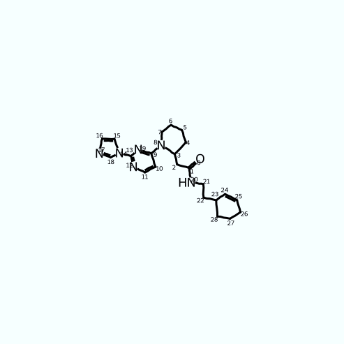 O=C(CC1CCCCN1c1ccnc(-n2ccnc2)n1)NCCC1C=CCCC1